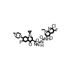 CCn1cc(NC(=O)Nc2nnc(-c3cn(C4CC4)c4cc(N5CCN(C)CC5)c(F)cc4c3=O)o2)c(=O)c2cc(F)c(Cl)nc21